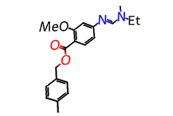 CCN(C)/C=N/c1ccc(C(=O)OCc2ccc(C)cc2)c(OC)c1